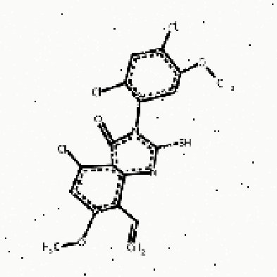 C=Cc1c(OC)cc(Cl)c2c(=O)n(-c3cc(OC)c(Cl)cc3Cl)c(S)nc12